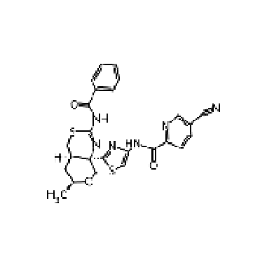 C[C@H]1C[C@H]2CSC(NC(=O)c3ccccc3)=N[C@@]2(c2nc(NC(=O)c3ccc(C#N)cn3)cs2)CO1